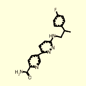 CC(CNc1ccc(-c2ccc(C(N)=O)nc2)nn1)c1ccc(F)cc1